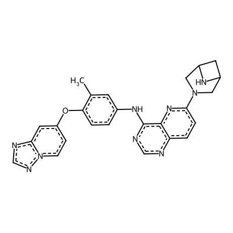 Cc1cc(Nc2ncnc3ccc(N4CC5CC(C4)N5)nc23)ccc1Oc1ccn2ncnc2c1